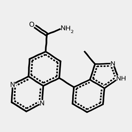 Cc1n[nH]c2cccc(-c3cc(C(N)=O)cc4nccnc34)c12